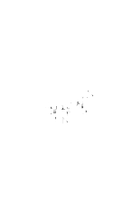 Cc1cccc(N(c2cccc(C#N)c2)c2ccc3cc4c5ccc(N(c6cccc(C)c6)c6cccc(C#N)c6)cc5n5c6ccccc6c(c3c2)c45)c1